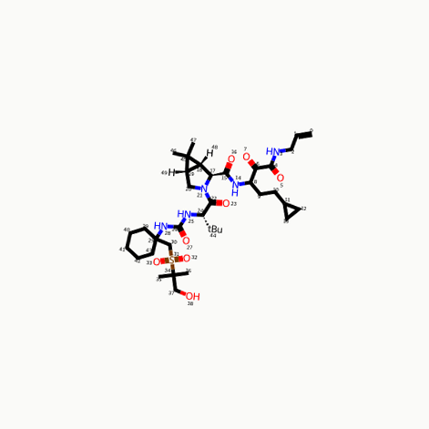 C=CCNC(=O)C(=O)C(CCC1CC1)NC(=O)[C@@H]1[C@@H]2[C@H](CN1C(=O)[C@@H](NC(=O)NC1(CS(=O)(=O)C(C)(C)CO)CCCCC1)C(C)(C)C)C2(C)C